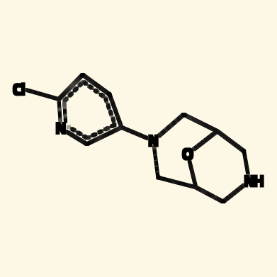 Clc1ccc(N2CC3CNCC(C2)O3)cn1